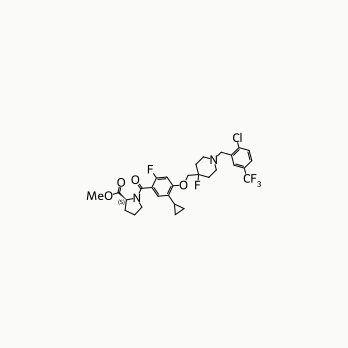 COC(=O)[C@@H]1CCCN1C(=O)c1cc(C2CC2)c(OCC2(F)CCN(Cc3cc(C(F)(F)F)ccc3Cl)CC2)cc1F